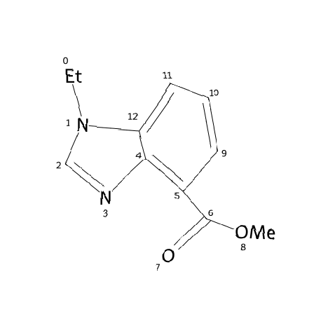 CCn1cnc2c(C(=O)OC)cccc21